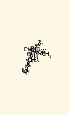 CCc1cc(N2CC(n3cccn3)C2)ccc1NC(=O)c1c(CC)nn(CCC2CC2)c1NC(=O)C[S+](C)[O-]